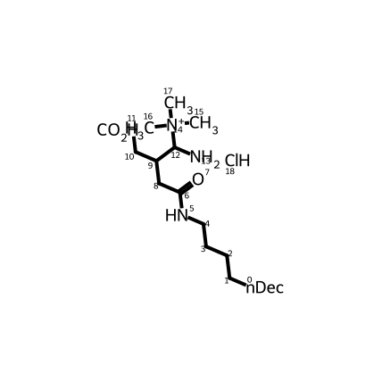 CCCCCCCCCCCCCCNC(=O)CC(CC(=O)O)C(N)[N+](C)(C)C.Cl